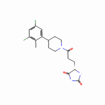 Cc1c(Cl)cc(Cl)cc1C1CCN(C(=O)CC[C@H]2NC(=O)NC2=O)CC1